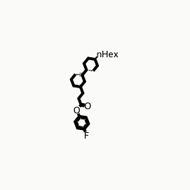 CCCCCC[C@H]1CC[C@H]([C@H]2CCCC(CCC(=O)Oc3ccc(F)cc3)C2)CC1